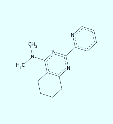 CN(C)c1nc(-c2ccccn2)nc2c1CCCC2